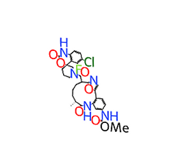 COC(=O)Nc1ccc2c(c1)NC(=O)[C@H](C)CCC[C@@H](C(=O)N1CCC[C@@]3(C1)OC(=O)Nc1ccc(Cl)c(F)c13)c1ncc-2o1